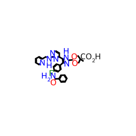 CC1(C(=O)O)COC(c2nc(-c3ccc(F)cc3)c(-c3ccnc(NCc4ccccn4)n3)[nH]2)OC1.NC(=O)c1ccccc1